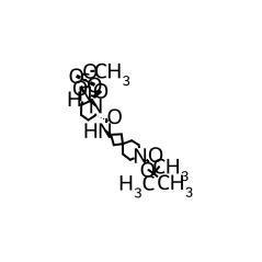 COS(=O)(=O)ON1C(=O)N2C[C@H]1CC[C@H]2C(=O)NC1CC2(CCN(C(=O)OC(C)(C)C)CC2)C1